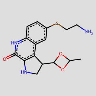 CC1OC(C2CNc3c2c2cc(SCCN)ccc2[nH]c3=O)O1